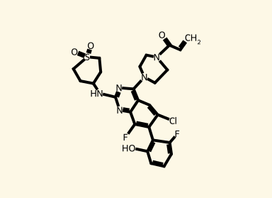 C=CC(=O)N1CCN(c2nc(NC3CCS(=O)(=O)CC3)nc3c(F)c(-c4c(O)cccc4F)c(Cl)cc23)CC1